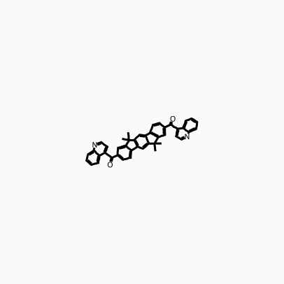 CC1(C)c2cc(C(=O)c3ccnc4ccccc34)ccc2-c2cc3c(cc21)-c1ccc(C(=O)c2ccnc4ccccc24)cc1C3(C)C